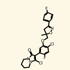 CC1(COc2cc(-c3c(Cl)n4n(c3=O)CCCC4)c(F)cc2Cl)CC(c2ccc(F)cc2)=NO1